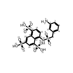 Nc1cccc(CS(=O)(=O)Nc2ccc(S(=O)(=O)O)c3cc(S(=O)(=O)O)cc(S(=O)(=O)O)c23)c1